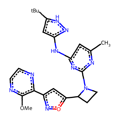 COc1nccnc1-c1cc(C2CCN2c2nc(C)cc(Nc3cc(C(C)(C)C)[nH]n3)n2)on1